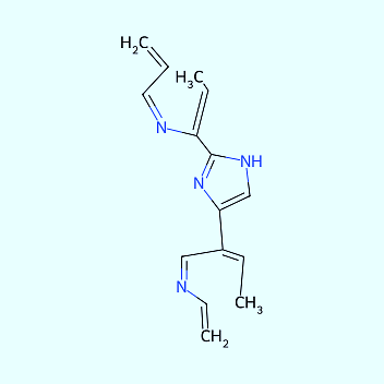 C=C/C=N\C(=C/C)c1nc(C(/C=N\C=C)=C/C)c[nH]1